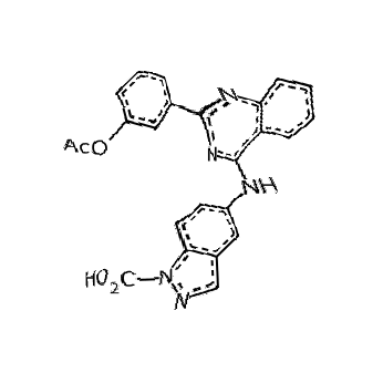 CC(=O)Oc1cccc(-c2nc(Nc3ccc4c(cnn4C(=O)O)c3)c3ccccc3n2)c1